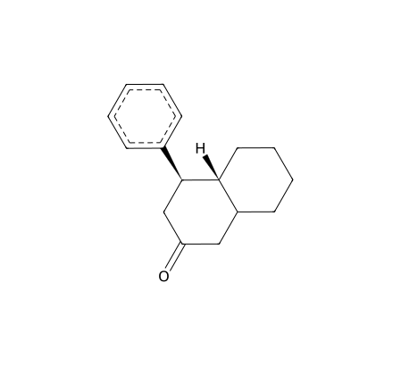 O=C1CC2CCCC[C@H]2[C@H](c2ccccc2)C1